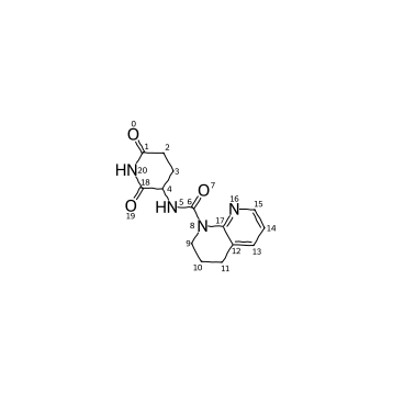 O=C1CCC(NC(=O)N2CCCc3cccnc32)C(=O)N1